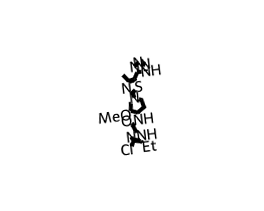 CCc1[nH]c(C(=O)NC2CCN(c3nc(C)c(-c4nnn[nH]4)s3)CC2OC)nc1Cl